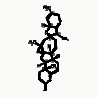 C[C@@H]1CN=C2[C@@H](C)[C@@]3(CC[C@H]4[C@@H]5CCC6=CC(=O)CC[C@]6(C)[C@H]5CC45CC5(C)C3)O[C@@H]2C1